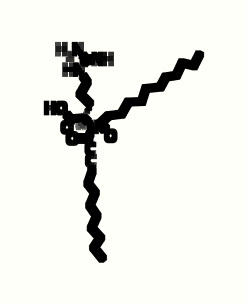 CCCCCCCCCCCC(=O)N(C(=O)CCCCCCCCCCC)[C@@H](CCCNC(=N)N)C(=O)O